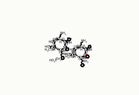 CC(=O)O.CC(O)[C@@H]1NC(=O)[C@H](CCCCN)NC(=O)[C@@H](Cc2c[nH]c3ccccc23)NC(=O)[C@H](Cc2ccccc2)NC(=O)[C@@H](NC(=O)[C@H](N)Cc2ccccc2)CSSC[C@@H](C(=O)N[C@H](CO)[C@@H](C)O)NC1=O.CC(O)[C@@H]1NC(=O)[C@H](CCCCN)NC(=O)[C@@H](Cc2c[nH]c3ccccc23)NC(=O)[C@H](Cc2ccccc2)NC(=O)[C@@H](NC(=O)[C@H](N)Cc2ccccc2)CSSC[C@@H](C(=O)N[C@H](CO)[C@@H](C)O)NC1=O